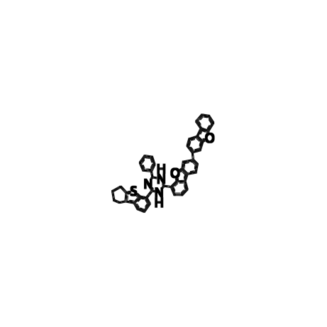 c1ccc(C2N=C(c3cccc4c5c(sc34)CCCC5)NC(c3cccc4c3oc3cc(-c5ccc6c(c5)oc5ccccc56)ccc34)N2)cc1